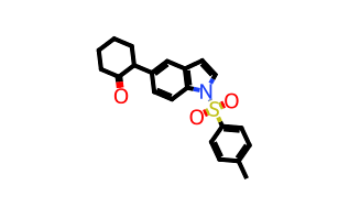 Cc1ccc(S(=O)(=O)n2ccc3cc(C4CCCCC4=O)ccc32)cc1